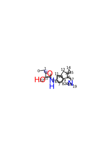 C/C=C1/OC(Nc2ccc3c(c2)CC2(CC2)C3CN(C)C)=C1O